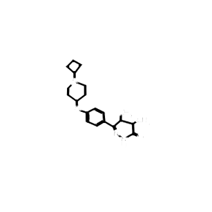 CC1C(=O)NN=C(c2ccc(OC3CCN(C4CCC4)CC3)cc2)C1C